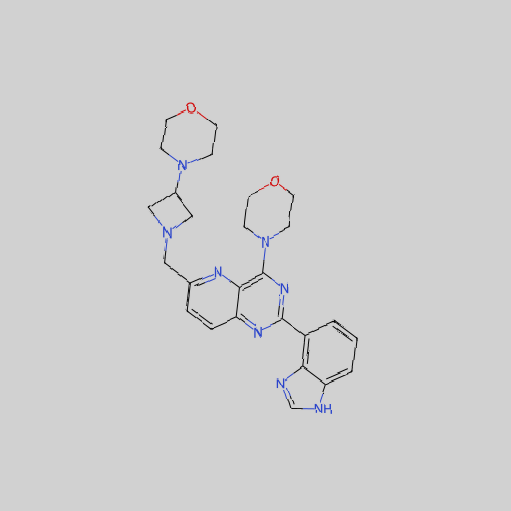 c1cc(-c2nc(N3CCOCC3)c3nc(CN4CC(N5CCOCC5)C4)ccc3n2)c2nc[nH]c2c1